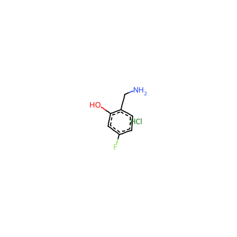 Cl.NCc1ccc(F)cc1O